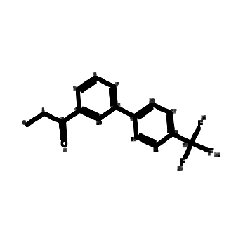 CCC(=O)c1cccc(-c2ccc(C(F)(F)F)cc2)c1